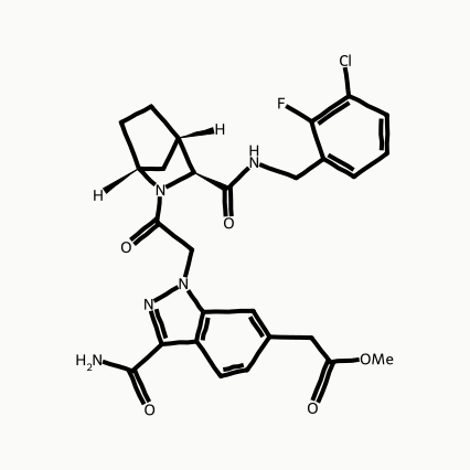 COC(=O)Cc1ccc2c(C(N)=O)nn(CC(=O)N3[C@@H]4CC[C@@H](C4)[C@H]3C(=O)NCc3cccc(Cl)c3F)c2c1